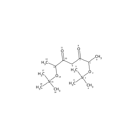 CC(O[Si](C)(C)C)C(=O)CC(=O)C(C)O[Si](C)(C)C